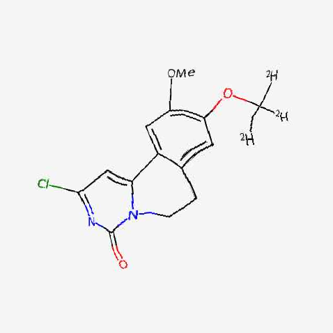 [2H]C([2H])([2H])Oc1cc2c(cc1OC)-c1cc(Cl)nc(=O)n1CC2